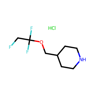 Cl.FCC(F)(F)OCC1CCNCC1